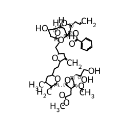 C=CC[C@@H]1O[C@@H]2C[C@@H](O[C@@]3(CCC4CC(=C)C(CCC5CC(C)C(=C)[C@@H](C[C@@H]6O[C@H](C[C@H](O)CO)[C@H](OC)C6CC(=O)OC)O5)O4)CC(O)[C@@H]2O3)[C@H]1OC(=O)c1ccccc1